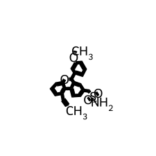 CC#Cc1cccc2c1-c1ccc(CS(N)(=O)=O)cc1C(c1cccc(OC)c1)O2